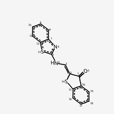 O=C1C(=CNc2nc3ccccc3s2)Sc2ccccc21